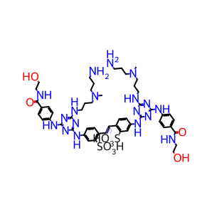 CN(CCCN)CCCNc1nc(Nc2ccc(C(=O)NCCO)cc2)nc(Nc2ccc(/C=C/c3ccc(Nc4nc(NCCCN(C)CCCN)nc(Nc5ccc(C(=O)NCCO)cc5)n4)cc3S(=O)(=O)O)c(S(=O)(=O)O)c2)n1